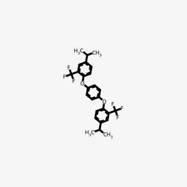 CC(C)c1ccc(Oc2ccc(Oc3ccc(C(C)C)cc3C(F)(F)F)cc2)c(C(F)(F)F)c1